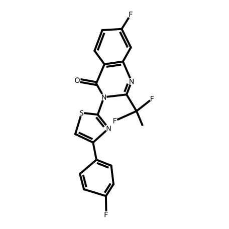 CC(F)(F)c1nc2cc(F)ccc2c(=O)n1-c1nc(-c2ccc(F)cc2)cs1